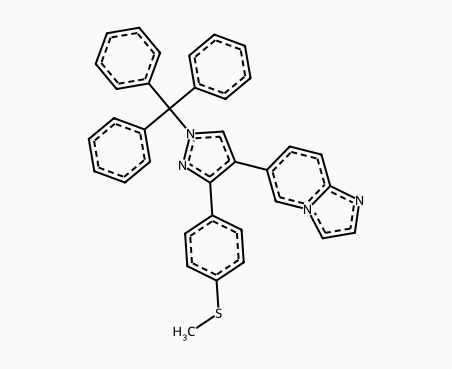 CSc1ccc(-c2nn(C(c3ccccc3)(c3ccccc3)c3ccccc3)cc2-c2ccc3nccn3c2)cc1